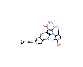 Cc1ccc(O)c(C)c1-n1c(N)c(C(N)=O)c2nc3cc(C#CC4CC4)ccc3nc21